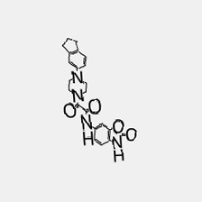 O=C(Nc1ccc2[nH]c(=O)oc2c1)C(=O)N1CCN(c2ccc3c(c2)CCC3)CC1